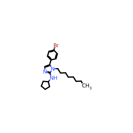 CCCCCCCCn1c(-c2ccc(Br)cc2)cnc1NC1CCCC1